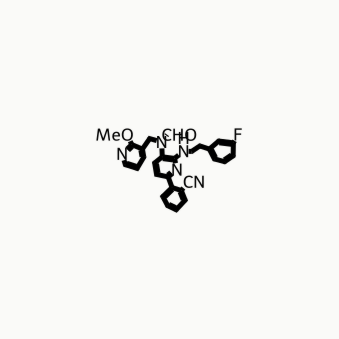 COc1ncccc1CN(C=O)c1ccc(-c2ccccc2C#N)nc1NCCc1cccc(F)c1